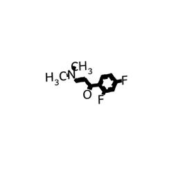 CN(C)/C=C/C(=O)c1ccc(F)cc1F